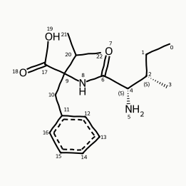 CC[C@H](C)[C@H](N)C(=O)NC(Cc1ccccc1)(C(=O)O)C(C)C